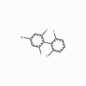 Fc1[c]ccc(Cl)c1-c1c(F)cc(Br)cc1F